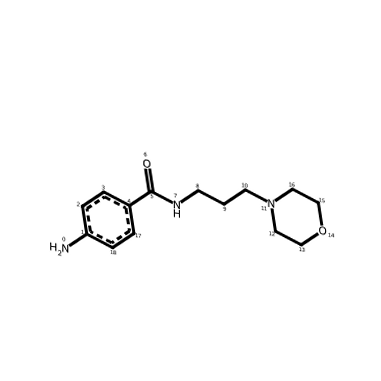 Nc1ccc(C(=O)NCCCN2CCOCC2)cc1